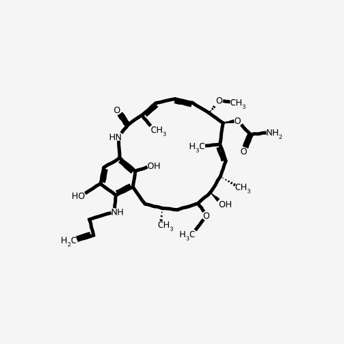 C=CCNc1c(O)cc2c(O)c1C[C@@H](C)CC(OC)[C@H](O)[C@@H](C)/C=C(\C)[C@H](OC(N)=O)[C@@H](OC)/C=C\C=C(/C)C(=O)N2